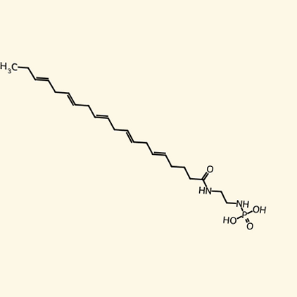 CCC=CCC=CCC=CCC=CCC=CCCCC(=O)NCCNP(=O)(O)O